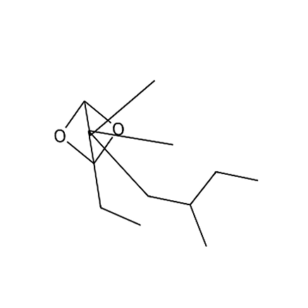 CCC(C)CC1(C)C(C)C2OC1(CC)O2